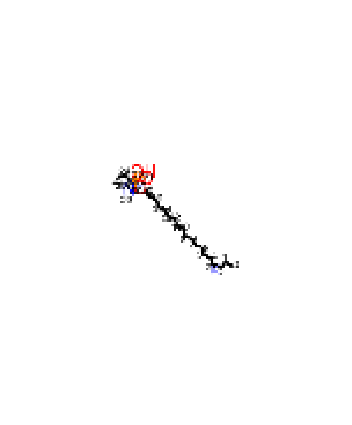 CC/C=C\CCCCCCCCCCCCCCCOP(=O)(O)C(CC)[N+](C)(C)C